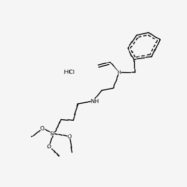 C=CN(CCNCCC[Si](OC)(OC)OC)Cc1ccccc1.Cl